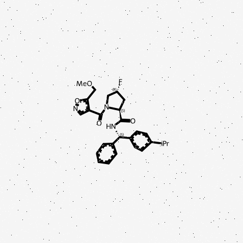 COCc1oncc1C(=O)N1C[C@H](F)C[C@H]1C(=O)N[C@@H](c1ccccc1)c1ccc(C(C)C)cc1